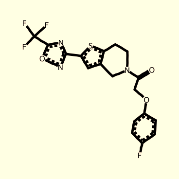 O=C(COc1ccc(F)cc1)N1CCc2sc(-c3noc(C(F)(F)F)n3)cc2C1